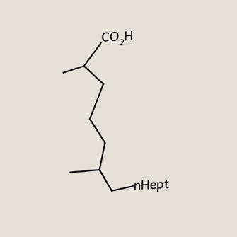 CCCCCCCCC(C)CCCC(C)C(=O)O